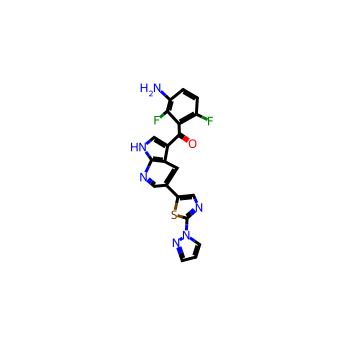 Nc1ccc(F)c(C(=O)c2c[nH]c3ncc(-c4cnc(-n5cccn5)s4)cc23)c1F